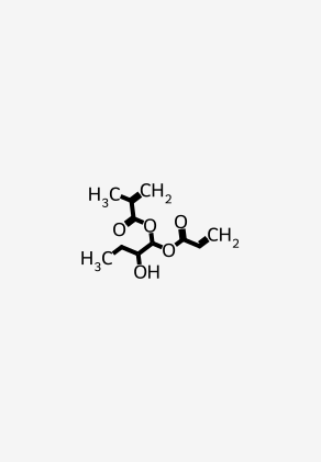 C=CC(=O)OC(OC(=O)C(=C)C)C(O)CC